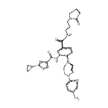 Cc1ccc(N2CCN(c3ccc(C(=O)NCCCN4CCCC4=O)cc3NC(=O)c3coc(C4CC4)n3)CC2)nc1